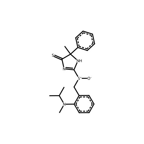 CC(C)N(C)c1ccccc1C[S+]([O-])C1=NC(=S)C(C)(c2ccccc2)N1